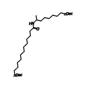 CCCCCCCCCCCCCCCCCCCCCC(=O)NC(C)CCCCCCCCCCCCCCCC